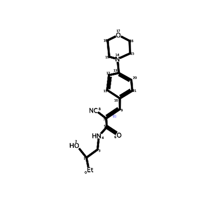 CCC(O)CNC(=O)/C(C#N)=C/c1ccc(N2CCOCC2)cc1